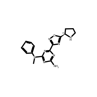 CN(c1ccccc1)c1nc(N)nc(-c2noc([C@H]3CCCN3)n2)n1